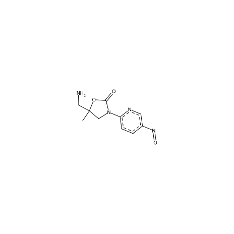 CC1(CN)CN(c2ccc(N=O)cn2)C(=O)O1